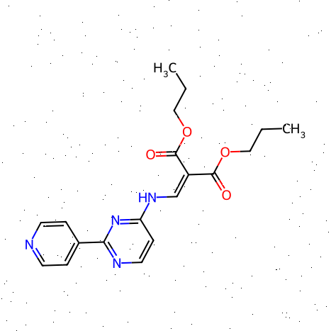 CCCOC(=O)C(=CNc1ccnc(-c2ccncc2)n1)C(=O)OCCC